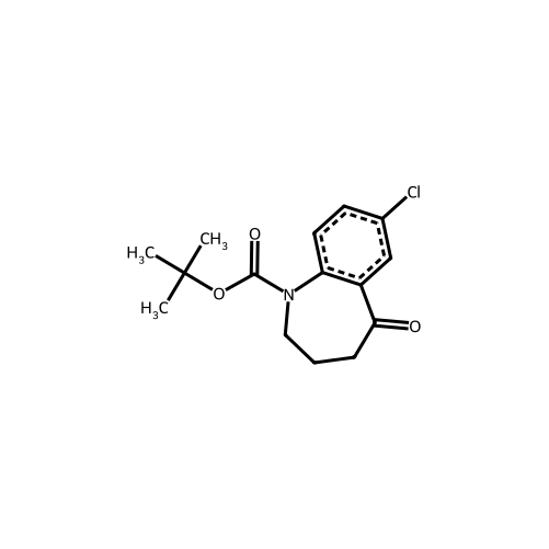 CC(C)(C)OC(=O)N1CCCC(=O)c2cc(Cl)ccc21